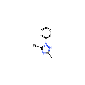 [CH2]Cc1nc(C)nn1-c1ccccc1